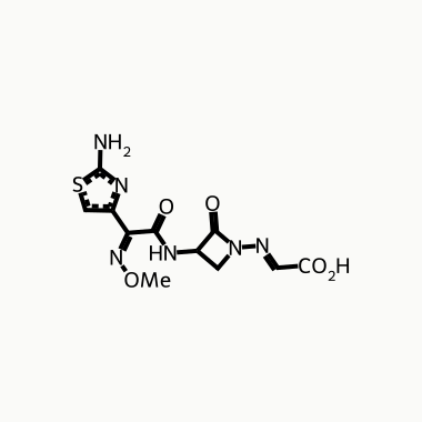 CO/N=C(\C(=O)NC1CN(N=CC(=O)O)C1=O)c1csc(N)n1